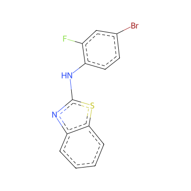 Fc1cc(Br)ccc1Nc1nc2ccccc2s1